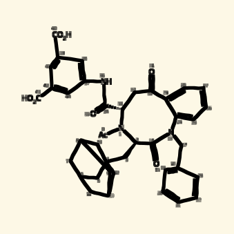 CC(=O)N1[C@H](CC23CC4CC(CC(C4)C2)C3)C(=O)N(Cc2ccccc2)c2ccccc2C(=O)C[C@H]1C(=O)Nc1cc(C(=O)O)cc(C(=O)O)c1